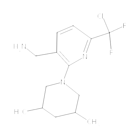 CC1CC(C)CN(c2nc(C(F)(F)Cl)ccc2CN)C1